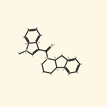 Cn1cc(C(=O)N2CCCC3c4ccccc4CC32)c2ccccc21